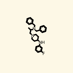 CC(CN1CCC(Nc2cccc(F)c2)CC1)N(Cc1ccccc1)Cc1ccccc1